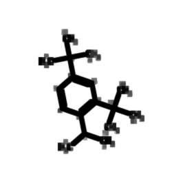 CC(C)c1ccc(C(C)(C)C)[c]c1C(C)(C)C